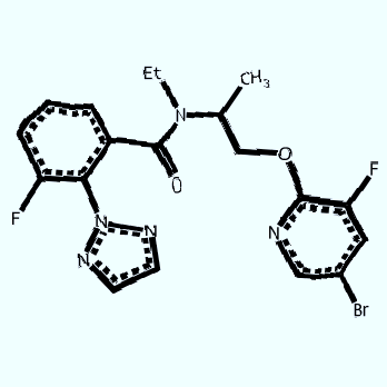 CCN(C(=O)c1cccc(F)c1-n1nccn1)C(C)COc1ncc(Br)cc1F